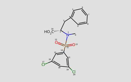 CN([C@@H](Cc1ccccc1)C(=O)O)S(=O)(=O)c1cc(Cl)cc(Cl)c1